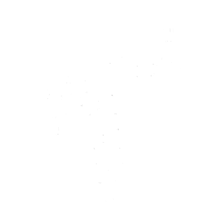 C=C(COC)C(=O)Oc1ccc(-c2ccc(OC(=O)C(=C)COC)c(-c3ccc(C4CCC(CCC)CC4)cc3)c2)cc1